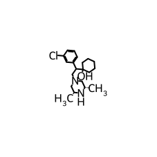 C[C@@H]1CN(CC(c2cccc(Cl)c2)C2(O)CCCCC2)C[C@H](C)N1